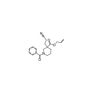 C=CCOC(=O)C1(CCC#N)CCCN(C(=O)c2ccccc2)C1